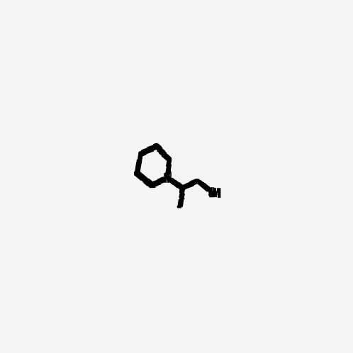 CC(CS)N1CCCCC1